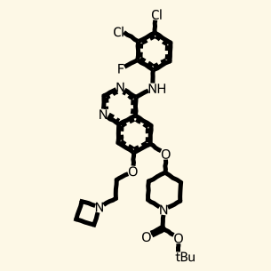 CC(C)(C)OC(=O)N1CCC(Oc2cc3c(Nc4ccc(Cl)c(Cl)c4F)ncnc3cc2OCCN2CCC2)CC1